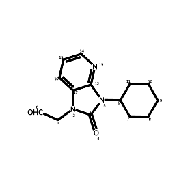 O=CCn1c(=O)n(C2CCCCC2)c2ncccc21